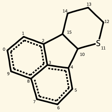 c1cc2c3c(cccc3c1)C1SCCCC21